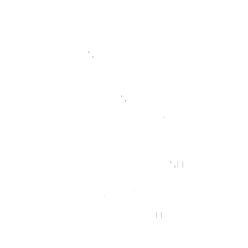 CN1CCN(C(=O)C[C@H](N)C(=O)O)CC1